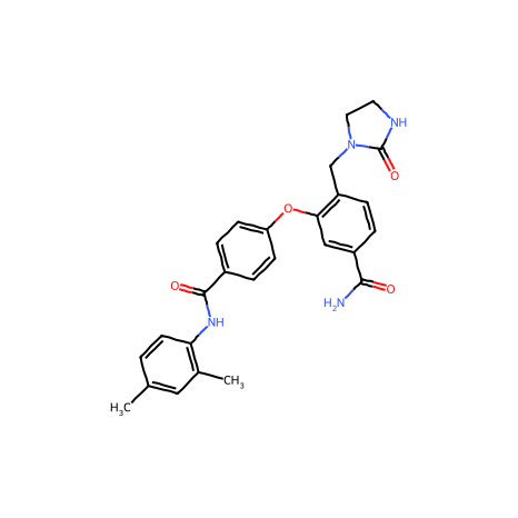 Cc1ccc(NC(=O)c2ccc(Oc3cc(C(N)=O)ccc3CN3CCNC3=O)cc2)c(C)c1